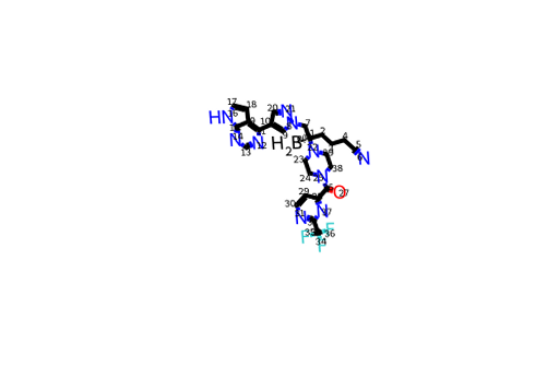 B[C@@](CCCC#N)(Cn1cc(-c2ncnc3[nH]ccc23)cn1)N1CCN(C(=O)c2ccnc(C(F)(F)F)n2)CC1